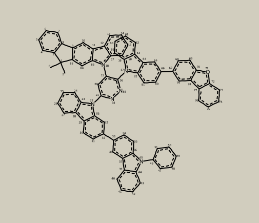 CC1(C)c2ccccc2-c2cc3c4ccccc4n(-c4cc(-n5c6ccccc6c6ccc(-c7ccc8c(c7)c7ccccc7n8-c7ccccc7)cc65)nnc4-n4c5ccccc5c5cc(-c6ccc7oc8ccccc8c7c6)ccc54)c3cc21